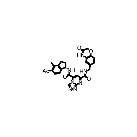 CC(=O)c1ccc2c(c1C)CC[C@@H]2NC(=O)c1cc(C(=O)NCc2ccc3c(c2)NC(=O)CO3)nc2nncn12